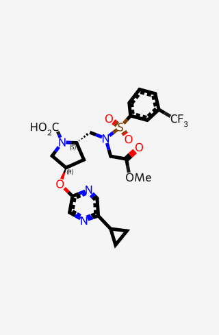 COC(=O)CN(C[C@@H]1C[C@@H](Oc2cnc(C3CC3)cn2)CN1C(=O)O)S(=O)(=O)c1cccc(C(F)(F)F)c1